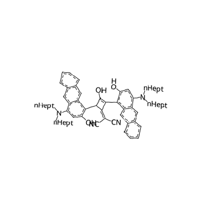 CCCCCCCN(CCCCCCC)c1cc(O)c(C2=C(O)C(c3c(O)cc(N(CCCCCCC)CCCCCCC)c4cc5ccccc5cc34)C2=C(C#N)C#N)c2cc3ccccc3cc12